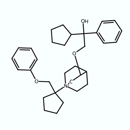 OC(COC1C[N+]2(C3(COc4ccccc4)CCCC3)CCC1CC2)(c1ccccc1)C1CCCC1